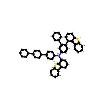 c1ccc(-c2ccc(-c3ccc(N(c4ccc(-c5cccc6sc7ccccc7c56)c(-c5ccccc5)c4)c4cccc5c4sc4ccccc45)cc3)cc2)cc1